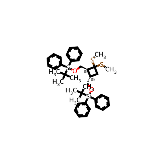 CSC1(SC)C[C@H](CO[Si](c2ccccc2)(c2ccccc2)C(C)(C)C)[C@H]1CO[Si](c1ccccc1)(c1ccccc1)C(C)(C)C